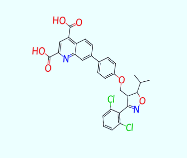 CC(C)C1ON=C(c2c(Cl)cccc2Cl)C1COc1ccc(-c2ccc3c(C(=O)O)cc(C(=O)O)nc3c2)cc1